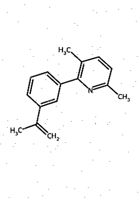 C=C(C)c1cccc(-c2nc(C)ccc2C)c1